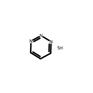 [Sn].c1cnnnc1